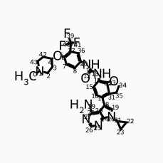 CN1CCC(Oc2ccc(NC(=O)Nc3ccc(-c4cn(C5CC5)c5ncnc(N)c45)c4c3OCC4)cc2C(F)(F)F)CC1